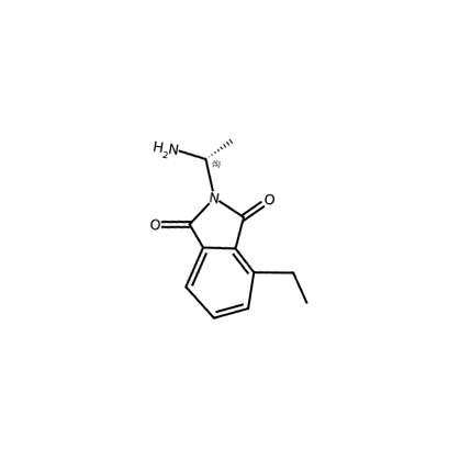 CCc1cccc2c1C(=O)N([C@@H](C)N)C2=O